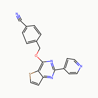 N#Cc1ccc(COc2nc(-c3ccncc3)nc3ccsc23)cc1